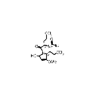 CCC(=O)N[C@@H](CCC(Cl)(Cl)Cl)C(=O)N1C(O)C=C(OC)[C@@H]1CCC(Cl)(Cl)Cl